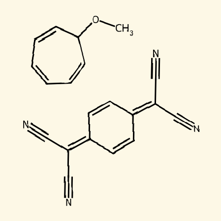 COC1C=CC=CC=C1.N#CC(C#N)=c1ccc(=C(C#N)C#N)cc1